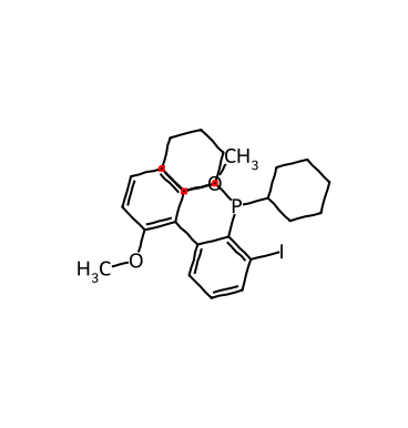 COc1cccc(OC)c1-c1cccc(I)c1P(C1CCCCC1)C1CCCCC1